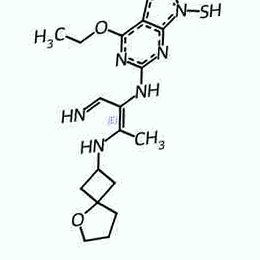 CCOc1nc(N/C(C=N)=C(\C)NC2CC3(CCCO3)C2)nc2c1ccn2S